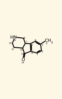 Cc1ccc2c(c1)C1CNCCC1C2=O